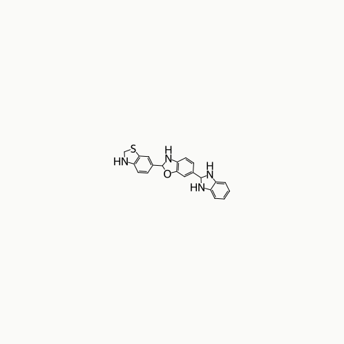 c1ccc2c(c1)NC(c1ccc3c(c1)OC(c1ccc4c(c1)SCN4)N3)N2